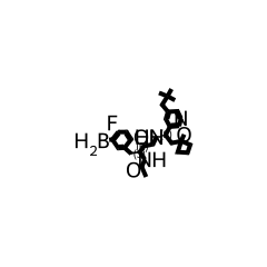 Bc1cc(C[C@H](NC(C)=O)[C@H](O)CN[C@H]2CC3(CCC3)Oc3ncc(CC(C)(C)C)cc32)ccc1F